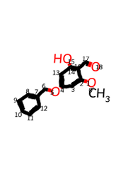 COc1cc(OCc2ccccc2)cc(O)c1C=O